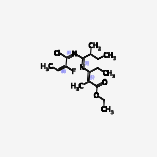 C\C=C(F)/C(Cl)=N\C(=N\C(CC)=C(/C)C(=O)OCC)C(C)CC